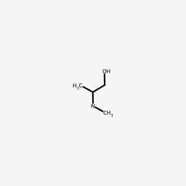 C[N]C(C)CO